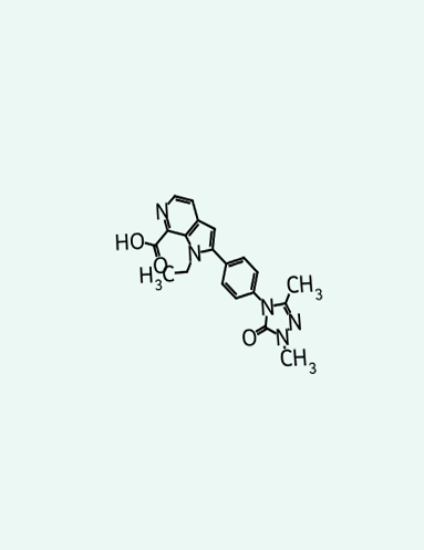 CCn1c(-c2ccc(-n3c(C)nn(C)c3=O)cc2)cc2ccnc(C(=O)O)c21